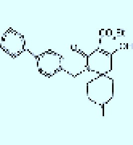 CCOC(=O)C1=C(O)CC2(CCNCC2)N(Cc2ccc(-c3ccccc3)cc2)C1=O